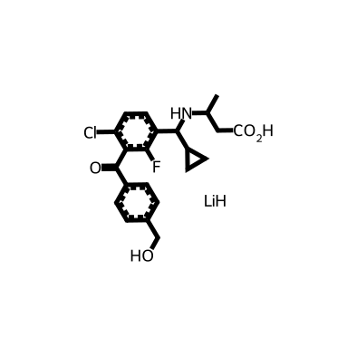 CC(CC(=O)O)NC(c1ccc(Cl)c(C(=O)c2ccc(CO)cc2)c1F)C1CC1.[LiH]